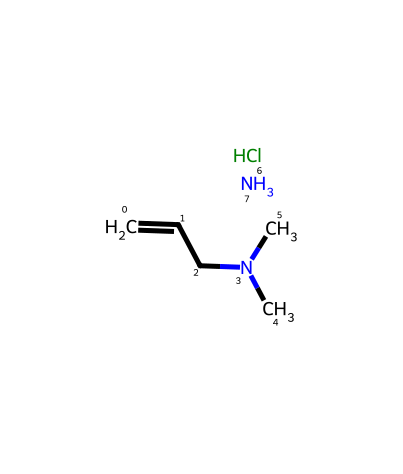 C=CCN(C)C.Cl.N